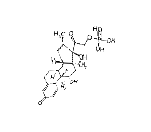 C[C@@H]1C[C@H]2[C@@H]3CCC4=CC(=O)C=C[C@]4(C)[C@@]3(F)[C@@H](O)C[C@]2(C)[C@@]1(O)C(=O)CO[PH](O)(O)O